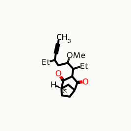 CC#CC(CC)CC(OC)C(CC)C1C(=O)C2CC[C@@H](C2)C1=O